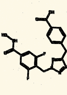 O=C(O)c1ccc(Cc2nnn(Cc3c(F)cc(C(=O)NO)cc3F)n2)cc1